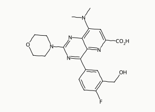 CN(C)c1cc(C(=O)O)nc2c(-c3ccc(F)c(CO)c3)nc(N3CCOCC3)nc12